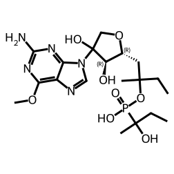 CCC(C)(C[C@H]1OCC(O)(n2cnc3c(OC)nc(N)nc32)[C@@H]1O)OP(=O)(O)C(C)(O)CC